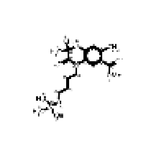 COC(=O)c1cc2c(cc1C)OC(C)(C)C(=O)N2CCCCO[Si](C)(C)C(C)(C)C